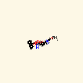 COCCCn1cc(-c2ccc(C[C@H](NC(=O)OCC3c4ccccc4-c4ccccc43)C(=O)O)cc2)cn1